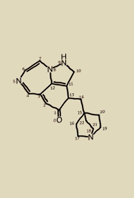 O=C1C=C2C=NC=CN3NCC(=C23)C1CC12CCN(CC1)CC2